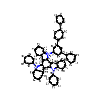 c1ccc(-c2ccc(-c3cc(-c4ccccc4)cc(-n4c5ccccc5c5c6c(c7ccccc7n6-c6ccccc6)c6c(c7ccccc7n6-c6ccccc6)c54)c3)cc2)cc1